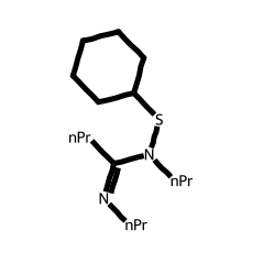 CCC/N=C(/CCC)N(CCC)SC1CCCCC1